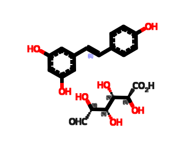 O=C[C@H](O)[C@@H](O)[C@H](O)[C@H](O)C(=O)O.Oc1ccc(/C=C/c2cc(O)cc(O)c2)cc1